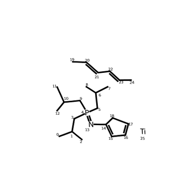 CC(C)CP(CC(C)C)(CC(C)C)=NC1=CC=CC1.CC=CC=CC.[Ti]